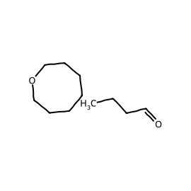 C1CCCOCCC1.CCCC=O